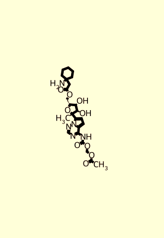 CC(=O)OCOC(=O)Nc1ncnn2c([C@]3(C)O[C@H](COC(=O)CC4(N)CCCCC4)[C@@H](O)[C@H]3O)ccc12